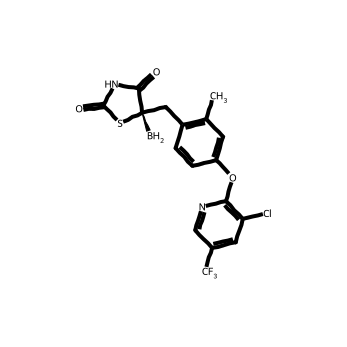 B[C@@]1(Cc2ccc(Oc3ncc(C(F)(F)F)cc3Cl)cc2C)SC(=O)NC1=O